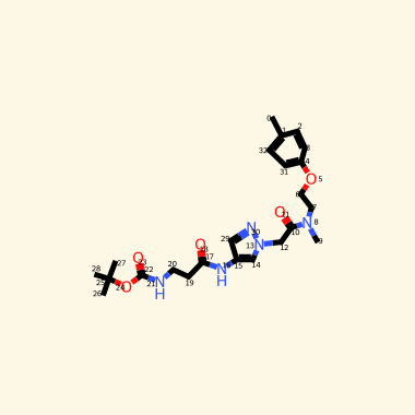 Cc1ccc(OCCN(C)C(=O)Cn2cc(NC(=O)CCNC(=O)OC(C)(C)C)cn2)cc1